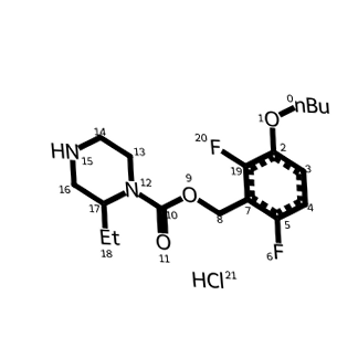 CCCCOc1ccc(F)c(COC(=O)N2CCNCC2CC)c1F.Cl